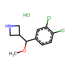 COC(c1ccc(Cl)c(Cl)c1)C1CNC1.Cl